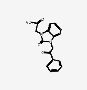 O=C(O)Cn1c(=O)n(CC(=O)c2ccccc2)c2ccccc21